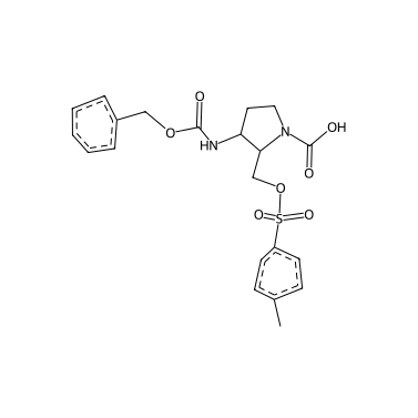 Cc1ccc(S(=O)(=O)OCC2C(NC(=O)OCc3ccccc3)CCN2C(=O)O)cc1